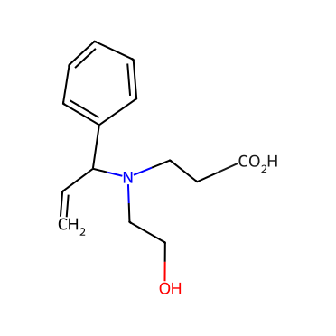 C=CC(c1ccccc1)N(CCO)CCC(=O)O